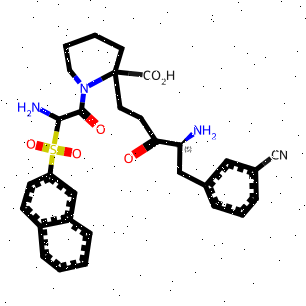 N#Cc1cccc(C[C@H](N)C(=O)CCC2(C(=O)O)CCCCN2C(=O)C(N)S(=O)(=O)c2ccc3ccccc3c2)c1